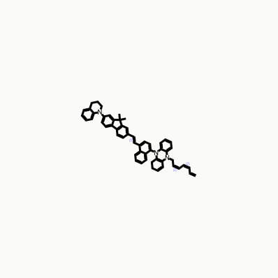 C=C/C=C\C=C/CN1C2=C(CCC=C2)N(c2ccc(/C=C/c3ccc4c(c3)C(C)(C)c3cc(N5CCCc6ccccc65)ccc3-4)c3ccccc23)c2ccccc21